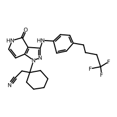 N#CCC1(n2nc(Nc3ccc(CCCC(F)(F)F)cc3)c3c(=O)[nH]ccc32)CCCCC1